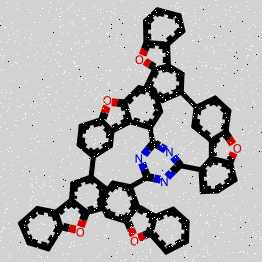 c1ccc2c(c1)oc1ccc(-c3ccc4oc5cccc(-c6nc(-c7cccc8oc9ccccc9c78)nc(-c7cccc8oc9ccc(-c%10ccc%11oc%12ccccc%12c%11c%10)cc9c78)n6)c5c4c3)cc12